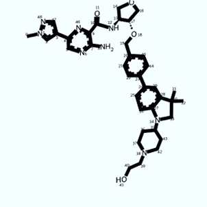 Cn1cc(-c2cnc(N)c(C(=O)N[C@H]3COC[C@@H]3OCc3ccc(-c4ccc5c(c4)C(C)(C)CN5C4CCN(CCO)CC4)cc3)n2)cn1